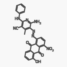 Cc1c(C#N)c(Nc2ccccc2)nc(N)c1/N=N/c1ccc([N+](=O)[O-])c2c1C(=O)c1cccc(O)c1C2=O